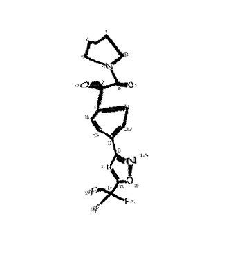 O=C(C(=O)N1CCCC1)c1ccc(-c2noc(C(F)(F)F)n2)cc1